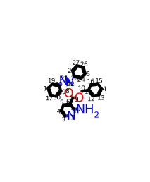 Nc1ncccc1C(=O)OCc1ccccc1.c1ccc(N=Nc2ccccc2)cc1